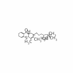 CC1=C(C)[C@H](CCCC(O)C[N+](C)(C)C)C[C@@H]2C(=O)C3=CCCC=C3SC12